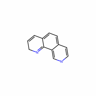 C1=Cc2ccc3c(c2=NC1)=C[N]C=C3